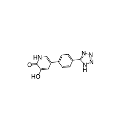 O=c1[nH]cc(-c2ccc(-c3nnn[nH]3)cc2)cc1O